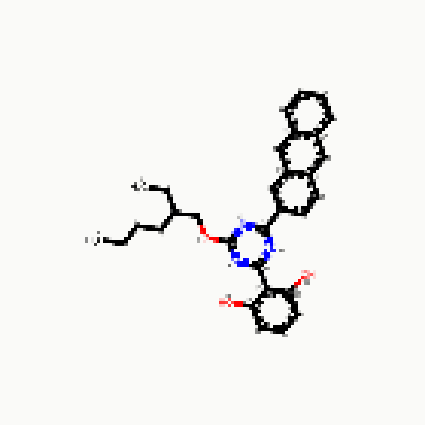 CCCCC(CC)COc1nc(-c2ccc3cc4ccccc4cc3c2)nc(-c2c(O)cccc2O)n1